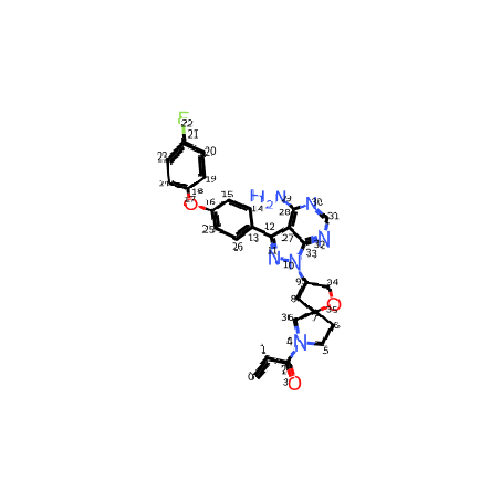 C=CC(=O)N1CCC2(CC(n3nc(-c4ccc(Oc5ccc(F)cc5)cc4)c4c(N)ncnc43)CO2)C1